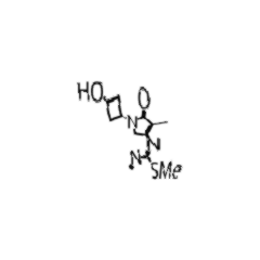 C=N/C(=N\C1=C(C)C(=O)N([C@H]2C[C@H](O)C2)C1)SC